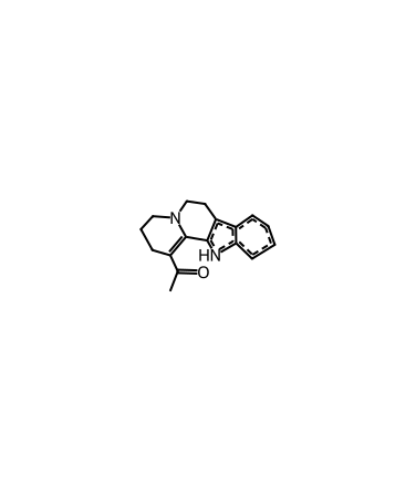 CC(=O)C1=C2c3[nH]c4ccccc4c3CCN2CCC1